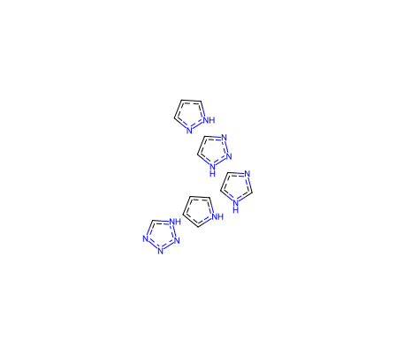 c1c[nH]cn1.c1c[nH]nn1.c1cc[nH]c1.c1cn[nH]c1.c1nnn[nH]1